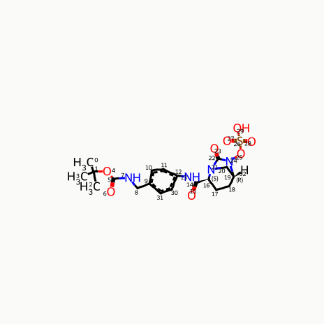 CC(C)(C)OC(=O)NCc1ccc(NC(=O)[C@@H]2CC[C@@H]3CN2C(=O)N3OS(=O)(=O)O)cc1